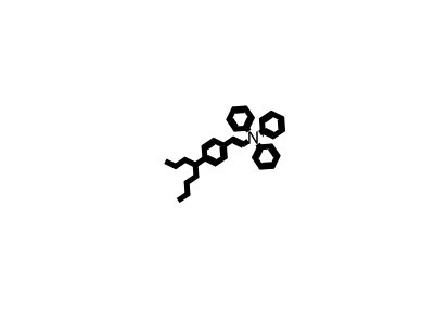 CCCCC(CCC)c1ccc(C=C[N+](c2ccccc2)(c2ccccc2)c2ccccc2)cc1